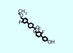 CCOCc1ccc(C2CCC(C(=O)Oc3ccc(-c4ccc(O)cc4)c(F)c3F)CC2)cc1F